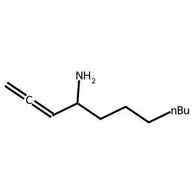 C=C=CC(N)CCCCCCC